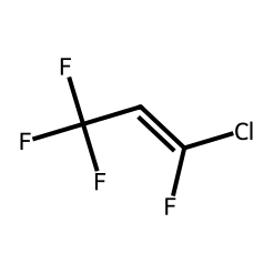 F/C(Cl)=C\C(F)(F)F